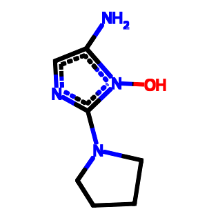 Nc1cnc(N2CCCC2)n1O